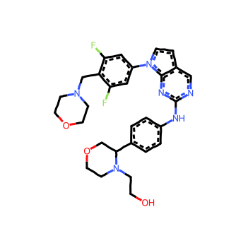 OCCN1CCOCC1c1ccc(Nc2ncc3ccn(-c4cc(F)c(CN5CCOCC5)c(F)c4)c3n2)cc1